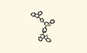 C1=C(c2ccc(-c3cc4ccccc4c4ccccc34)cc2)C=C(c2ccccc2)NC1c1ccc(-c2nc3ccccc3c3c2sc2ccccc23)cc1